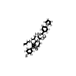 C=CCN(CCC[C@H](NC(=O)c1ccc(-n2cccc2)cc1)C(=O)N1CCS(=O)(=O)CC1)[C@@H]1C[C@H]1c1ccc(F)cc1